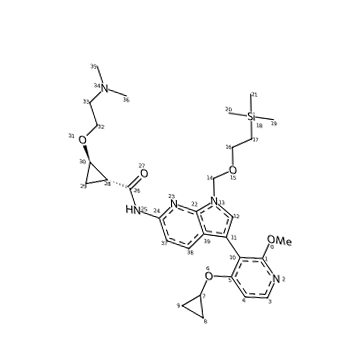 COc1nccc(OC2CC2)c1-c1cn(COCC[Si](C)(C)C)c2nc(NC(=O)[C@@H]3C[C@H]3OCCN(C)C)ccc12